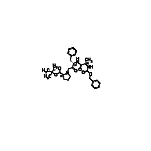 C[C@H](NC(=O)OCc1ccccc1)C(=O)N[C@@H](Cc1ccccc1)C(=O)CN1CCC[C@H]1C(=O)OC(C)(C)C